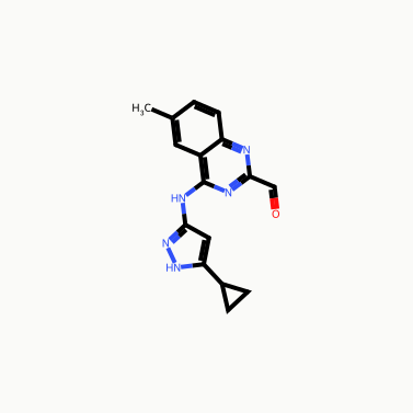 Cc1ccc2nc(C=O)nc(Nc3cc(C4CC4)[nH]n3)c2c1